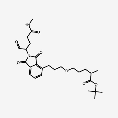 CNC(=O)CCC(C=O)N1C(=O)c2cccc(CCCOCCCN(C)C(=O)OC(C)(C)C)c2C1=O